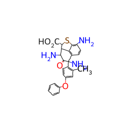 Cc1cc(Oc2ccccc2)ccc1C1(N)C(=O)C(N)C2c3c1ccc(N)c3SC2C(=O)O